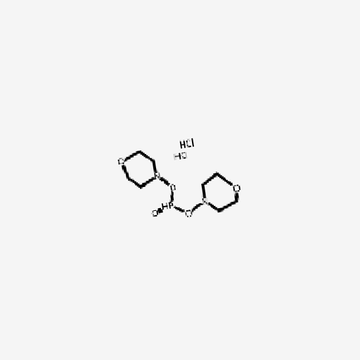 Cl.Cl.O=[PH](ON1CCOCC1)ON1CCOCC1